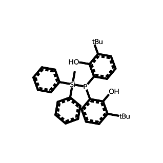 CC(C)(C)c1cccc(P(c2cccc(C(C)(C)C)c2O)[Si](C)(c2ccccc2)c2ccccc2)c1O